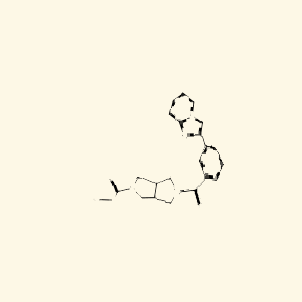 CC(C)(C)OC(=O)N1CC2CN(C(=O)c3cccc(-c4cn5ccccc5n4)c3)CC2C1